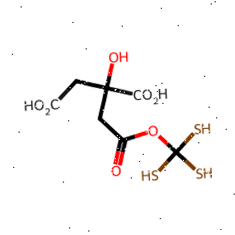 O=C(O)CC(O)(CC(=O)OC(S)(S)S)C(=O)O